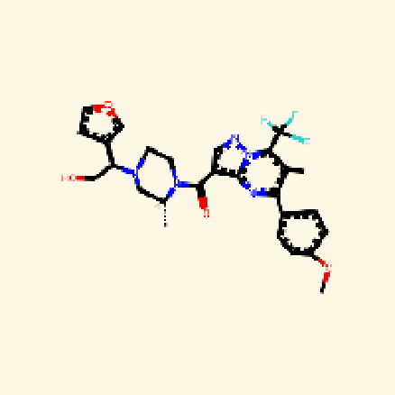 COc1ccc(-c2nc3c(C(=O)N4CCN(C(CO)c5ccoc5)C[C@H]4C)cnn3c(C(F)(F)F)c2C)cc1